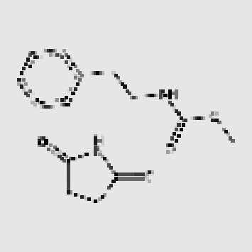 COC(=O)NCCc1ccccc1.O=C1CCC(=O)N1